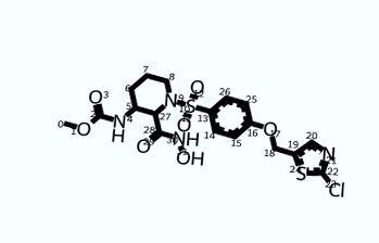 COC(=O)NC1CCCN(S(=O)(=O)c2ccc(OCc3cnc(Cl)s3)cc2)C1C(=O)NO